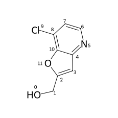 OCc1cc2nccc(Cl)c2o1